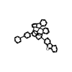 c1ccc(-c2ccc(N(c3ccc(-c4ccc5c(c4)oc4ccccc45)cc3)c3cccc4c3C3(c5ccccc5Sc5ccccc53)c3ccccc3-4)cc2)cc1